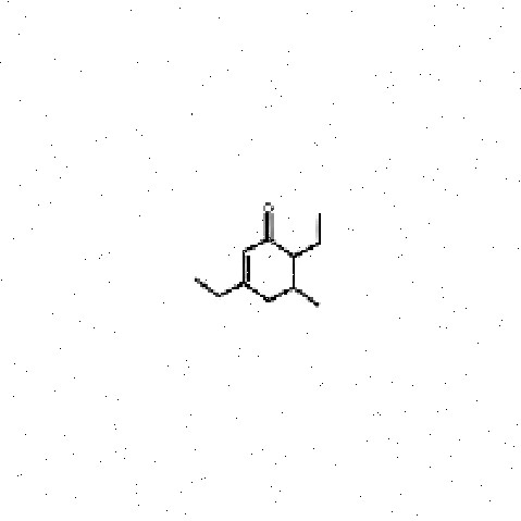 CCC1=CC(=O)C(CC)C(C)C1